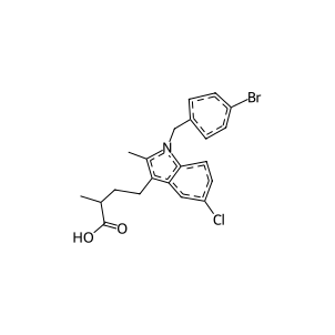 Cc1c(CCC(C)C(=O)O)c2cc(Cl)ccc2n1Cc1ccc(Br)cc1